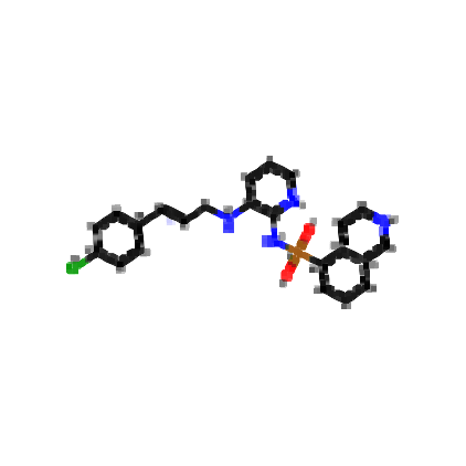 O=S(=O)(Nc1ncccc1NC/C=C/c1ccc(Cl)cc1)c1cccc2cnccc12